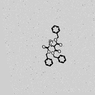 CC(C)N(C(=O)OCc1ccccc1)C(C(=O)OCc1ccccc1)C(=O)OCc1ccccc1